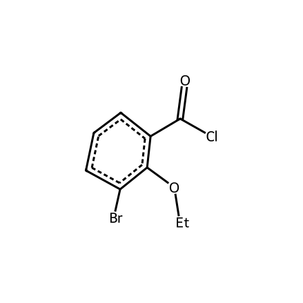 CCOc1c(Br)cccc1C(=O)Cl